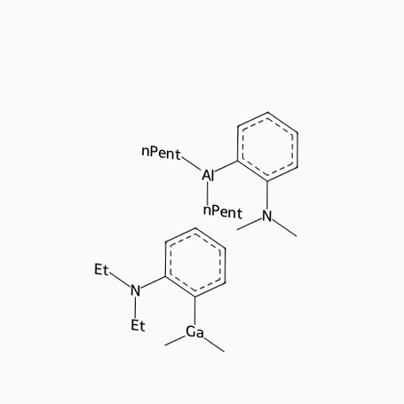 CCCC[CH2][Al]([CH2]CCCC)[c]1ccccc1N(C)C.CCN(CC)c1cccc[c]1[Ga]([CH3])[CH3]